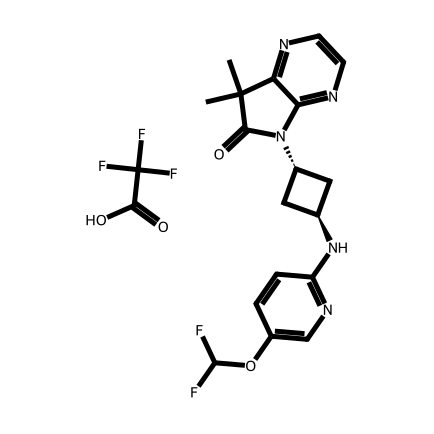 CC1(C)C(=O)N([C@H]2C[C@H](Nc3ccc(OC(F)F)cn3)C2)c2nccnc21.O=C(O)C(F)(F)F